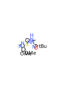 C=C(Nc1cccc(Sc2ncnc3cc(OC)c(OC)cc23)c1)Nc1cc(C(C)(C)C)on1